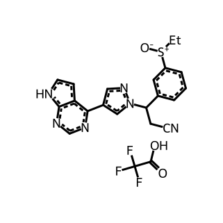 CC[S+]([O-])c1cccc(C(CC#N)n2cc(-c3ncnc4[nH]ccc34)cn2)c1.O=C(O)C(F)(F)F